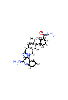 COCCc1nc2c(N)nc3ccccc3c2n1CCCCc1cccc(C(N)=O)c1C